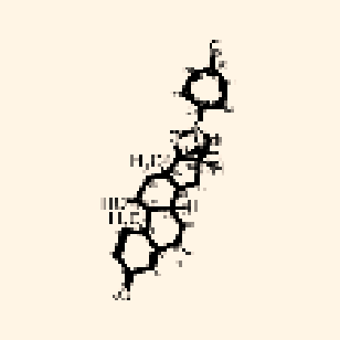 C[C@]12C=CC(=O)C=C1[C@@H](F)C[C@@H]1C2[C@@H](O)C[C@@]2(C)C1C[C@H]1CN(c3ccc(Cl)cc3)O[C@]12C(=O)O